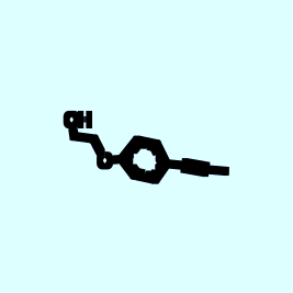 CC#Cc1ccc(OCCO)cc1